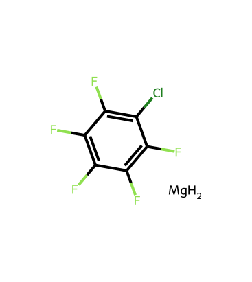 Fc1c(F)c(F)c(Cl)c(F)c1F.[MgH2]